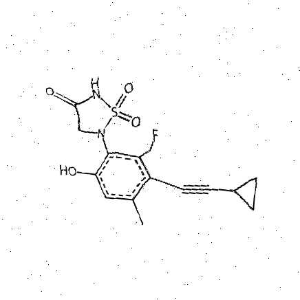 Cc1cc(O)c(N2CC(=O)NS2(=O)=O)c(F)c1C#CC1CC1